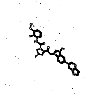 CC(=O)c1cn(CC(=O)N2C[C@H](F)C[C@H]2C(=O)Nc2cccc(OC(F)(F)F)c2F)c2ccc(-c3cnc4ccnn4c3)cc12